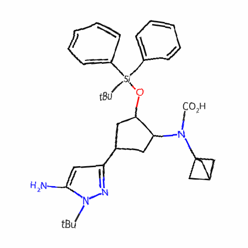 CC(C)(C)n1nc(C2CC(O[Si](c3ccccc3)(c3ccccc3)C(C)(C)C)C(N(C(=O)O)C34CC(C3)C4)C2)cc1N